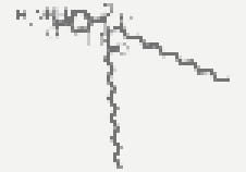 CCCCCCCCCCCCC(=O)NN(C(=O)CCCCCCCCCCCC)C(=O)c1ccc(C(=O)NN)cc1